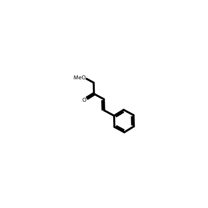 COCC(=O)C=Cc1ccccc1